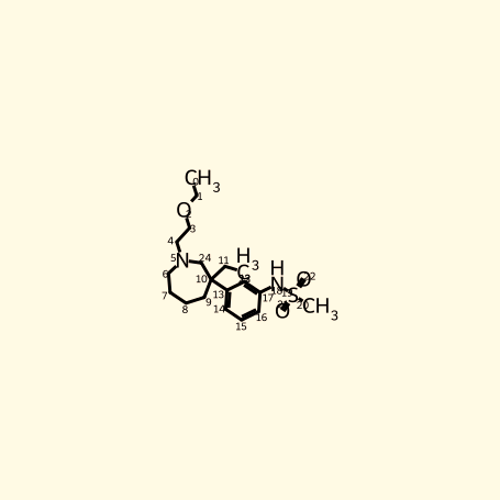 CCOCCN1CCCCC(CC)(c2cccc(NS(C)(=O)=O)c2)C1